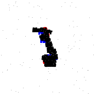 COC(=O)NC(C(=O)N1CCS[C@H]1c1ncc(-c2ccc(-c3ccc4cc(-c5cnc([C@@H]6CCCN6C(=O)[C@H](NC(=O)OC)c6ccccc6)[nH]5)ccc4c3)cc2)[nH]1)C(C)C